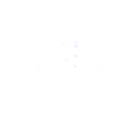 OCC1OC(C2C=Nc3c(NC4CC4)nc(Nc4ccc5ncccc5c4)nc32)CC1O